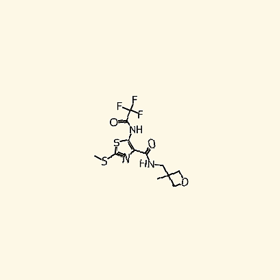 CSc1nc(C(=O)NCC2(C)COC2)c(NC(=O)C(F)(F)F)s1